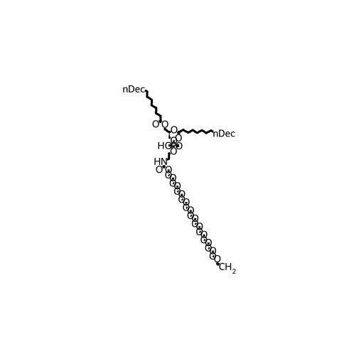 C=COOOOOOOOOOOOOOOOOOOOOOOC(=O)NCCOP(=O)(O)OC[C@@H](COC(=O)CCCCCCCCCCCCCCCCC)OC(=O)CCCCCCCCCCCCCCCCC